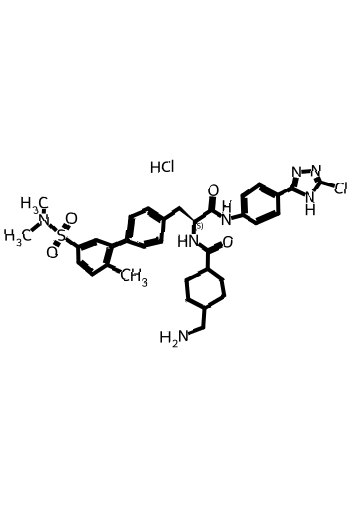 Cc1ccc(S(=O)(=O)N(C)C)cc1-c1ccc(C[C@H](NC(=O)C2CCC(CN)CC2)C(=O)Nc2ccc(-c3nnc(Cl)[nH]3)cc2)cc1.Cl